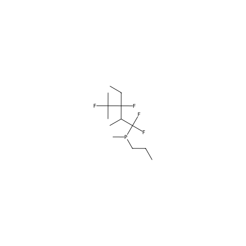 CCCP(C)C(F)(F)C(C)C(F)(CC)C(C)(C)F